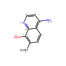 CC(=O)Nc1ccc2c(N)ccnc2c1O